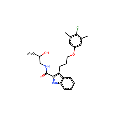 COC(O)CNC(=O)c1[nH]c2ccccc2c1CCCOc1cc(C)c(Cl)c(C)c1